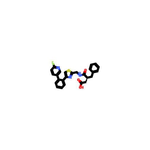 O=C(O)C[C@@H](Cc1ccccc1)C(=O)NCc1nc(-c2ccccc2-c2ccc(F)nc2)cs1